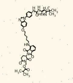 CC(C)C(=O)OCN1C(=O)CCC(N2C(=O)c3cccc(NCCCCCOc4ccc5c(c4)ncn5-c4ccc(NC(=O)Nc5cc(C(C)(C)C)n[nH]5)cc4)c3C2=O)C1=O